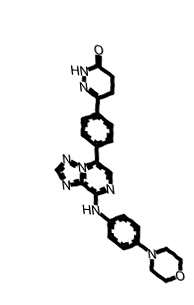 O=C1CCC(c2ccc(-c3cnc(Nc4ccc(N5CCOCC5)cc4)c4ncnn34)cc2)=NN1